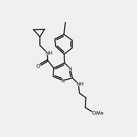 COCCCNc1ncc(C(=O)NCC2CC2)c(-c2ccc(C)cc2)n1